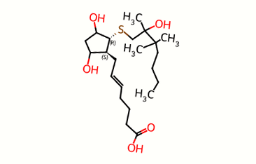 CCCCC(C)(C)C(C)(O)CS[C@H]1C(O)CC(O)[C@@H]1CC=CCCCC(=O)O